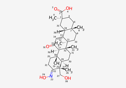 C[C@]1(C(=O)O)CC[C@]2(C)CC[C@]3(C)C(=CC(=O)[C@@H]4[C@@]5(C)CC/C(=N\O)[C@@](C)(CO)[C@@H]5CC[C@]43C)[C@@H]2C1